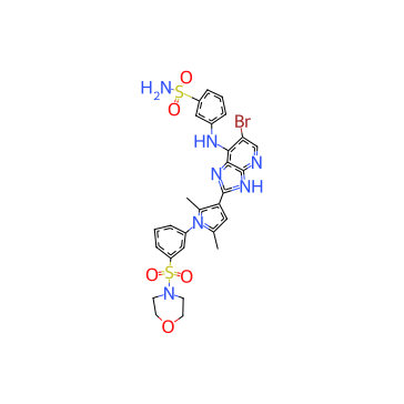 Cc1cc(-c2nc3c(Nc4cccc(S(N)(=O)=O)c4)c(Br)cnc3[nH]2)c(C)n1-c1cccc(S(=O)(=O)N2CCOCC2)c1